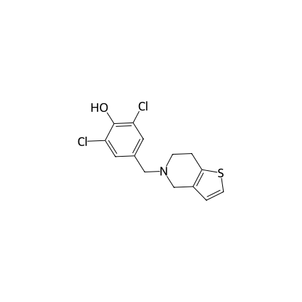 Oc1c(Cl)cc(CN2CCc3sccc3C2)cc1Cl